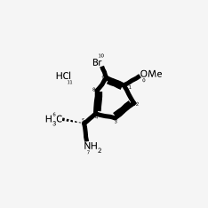 COc1ccc([C@@H](C)N)cc1Br.Cl